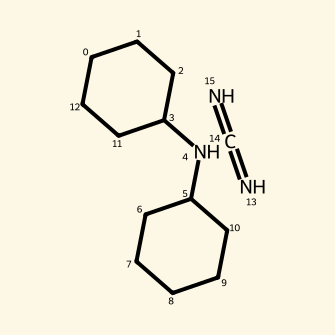 C1CCC(NC2CCCCC2)CC1.N=C=N